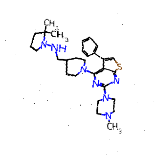 CN1CCN(c2nc(N3CCC(CNN4CCCC4(C)C)CC3)c3c(-c4ccccc4)csc3n2)CC1